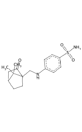 CC1(C)C2CCC1(CNc1ccc(S(N)(=O)=O)cc1)C(=O)C2